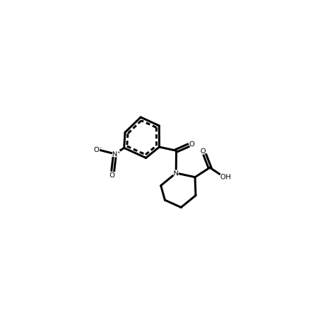 O=C(O)C1CCCCN1C(=O)c1cccc([N+](=O)[O-])c1